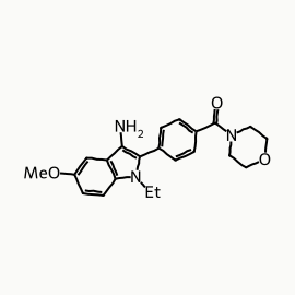 CCn1c(-c2ccc(C(=O)N3CCOCC3)cc2)c(N)c2cc(OC)ccc21